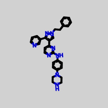 c1ccc(CCn2cc(-c3ccnc(Nc4ccc(N5CCNCC5)cc4)n3)c(-c3cccnc3)n2)cc1